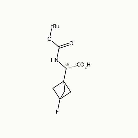 CC(C)(C)OC(=O)N[C@H](C(=O)O)C12CC(F)(C1)C2